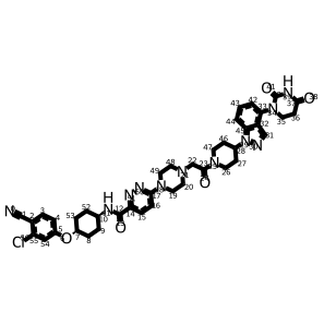 N#Cc1ccc(O[C@H]2CC[C@H](NC(=O)c3ccc(N4CCN(CC(=O)N5CCC(n6ncc7c(N8CCC(=O)NC8=O)cccc76)CC5)CC4)nn3)CC2)cc1Cl